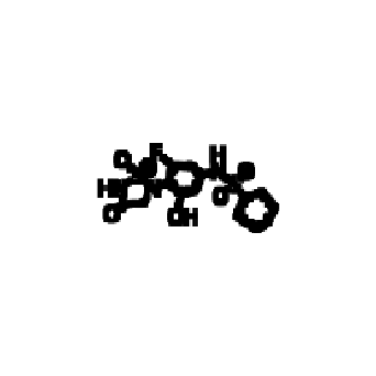 O=C1CN(c2c(O)cc(NS(=O)(=O)c3ccccc3)cc2F)S(=O)(=O)N1